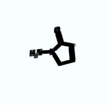 NN1CC=[C]C1=O